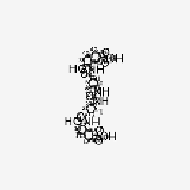 Cc1cc(C(=O)Nc2c(O)ccc3ccc(S(=O)(=O)O)cc23)ccc1NC(=O)Nc1ccc(C(=O)Nc2c(O)ccc3ccc(S(=O)(=O)O)cc23)cc1C